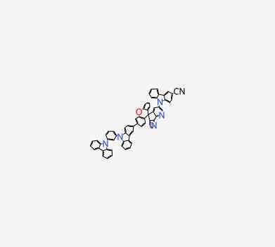 N#Cc1ccc2c(c1)c1ccccc1n2-c1cnc2c(c1)C1(c3ccccc3Oc3cc(-c4ccc5c(c4)c4ccccc4n5-c4cccc(-n5c6ccccc6c6ccccc65)c4)ccc31)c1cccnc1-2